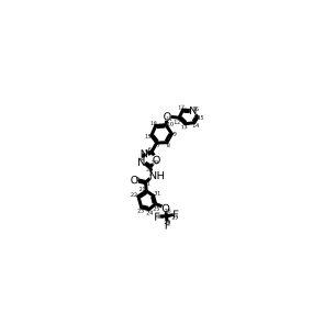 O=C(Nc1nnc(-c2ccc(Oc3cccnc3)cc2)o1)c1cccc(OC(F)(F)F)c1